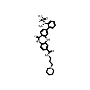 CN(c1ccccc1-c1ccc2c(c1)Nc1cc(C(=O)NCCCN3CCCCC3)ccc1NC2=O)S(C)(=O)=O